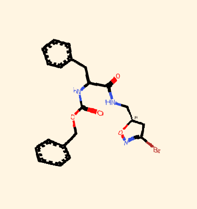 O=C(NC(Cc1ccccc1)C(=O)NC[C@H]1CC(Br)=NO1)OCc1ccccc1